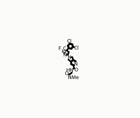 CNC(=O)CNC(=O)c1cc2c(cn1)CN(C1=NOC(c3cc(Cl)cc(Cl)c3)(C(F)(F)F)C1)C2